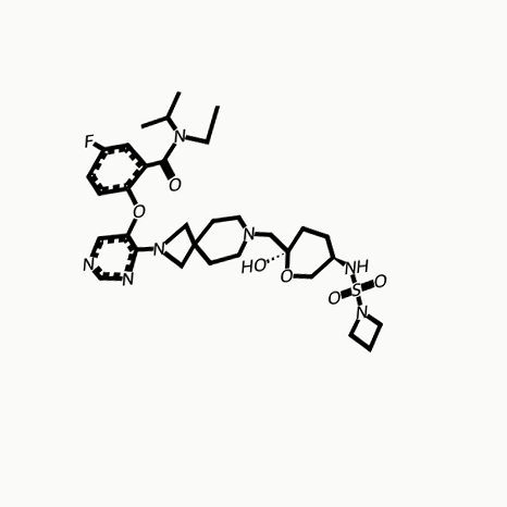 CCN(C(=O)c1cc(F)ccc1Oc1cncnc1N1CC2(CCN(C[C@@]3(O)CC[C@@H](NS(=O)(=O)N4CCC4)CO3)CC2)C1)C(C)C